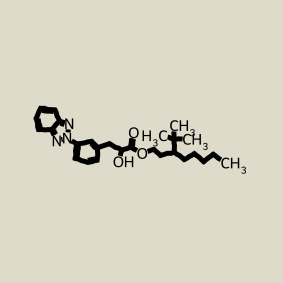 CCCCCC(CCOC(=O)C(O)Cc1cccc(-n2nc3ccccc3n2)c1)C(C)(C)C